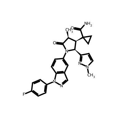 C[C@@H]1C(=O)N(c2ccc3c(cnn3-c3ccc(F)cc3)c2)[C@H](c2ccn(C)n2)[C@@H]1C1(C(N)=O)CC1